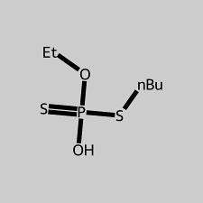 CCCCSP(O)(=S)OCC